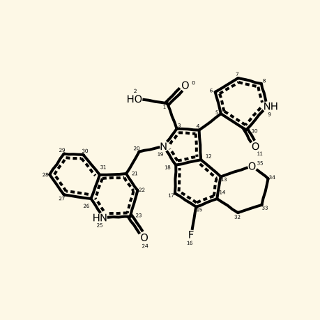 O=C(O)c1c(-c2ccc[nH]c2=O)c2c3c(c(F)cc2n1Cc1cc(=O)[nH]c2ccccc12)CCCO3